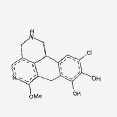 COc1ncc2c3c1Cc1c(cc(Cl)c(O)c1O)C3CNC2